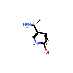 C[C@@H](N)c1ccc(Br)nc1